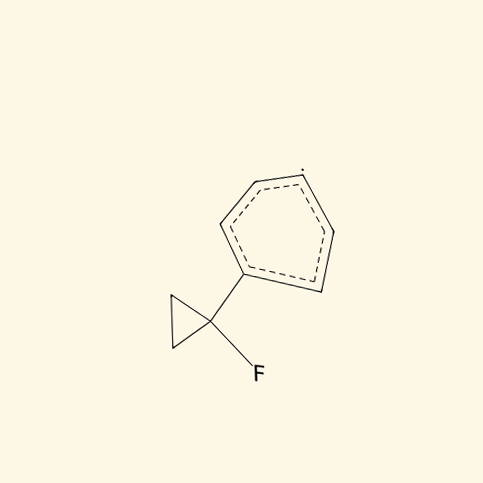 FC1(c2cc[c]cc2)CC1